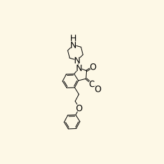 O=C=C1C(=O)N(N2CCNCC2)c2cccc(CCOc3ccccc3)c21